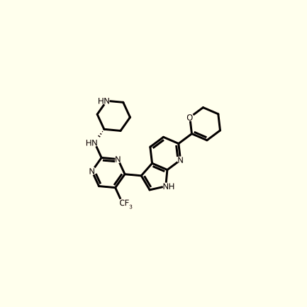 FC(F)(F)c1cnc(N[C@H]2CCCNC2)nc1-c1c[nH]c2nc(C3=CCCCO3)ccc12